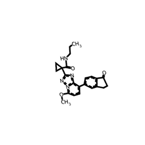 CCCNC(=O)C1(c2nc3c(-c4ccc5c(c4)CCC5=O)ccc(OC)n3n2)CC1